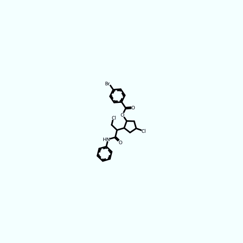 O=C(OC1CC(Cl)CC1C(CCl)C(=O)Nc1ccccc1)c1ccc(Br)cc1